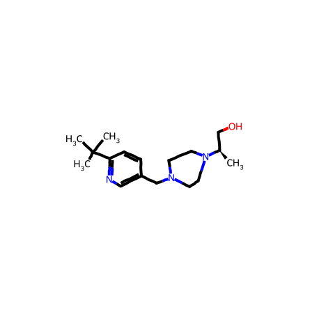 C[C@H](CO)N1CCN(Cc2ccc(C(C)(C)C)nc2)CC1